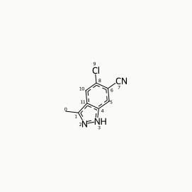 Cc1n[nH]c2cc(C#N)c(Cl)cc12